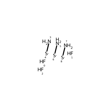 F.F.F.N[S].N[S].N[S]